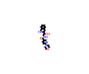 O=C(NCC(O)C1Cc2ccccc2CN1)c1ccc(N2CCOCC2)nc1